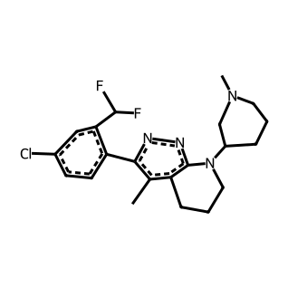 Cc1c(-c2ccc(Cl)cc2C(F)F)nnc2c1CCCN2C1CCCN(C)C1